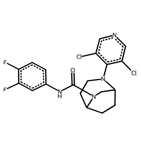 O=C(Nc1ccc(F)c(F)c1)N1CC2CCC1CCN2c1c(Cl)cncc1Cl